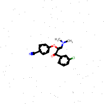 CN(C)/C=C(\Oc1ccc(C#N)cc1)C(=O)c1cccc(Cl)c1